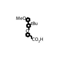 COc1cccc(-c2ccc(COc3cccc(CCC(=O)O)c3)cc2C(C)(C)C)c1